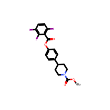 CC(C)(C)OC(=O)N1CCC(c2ccc(OC(=O)c3c(I)ccc(I)c3I)cc2)CC1